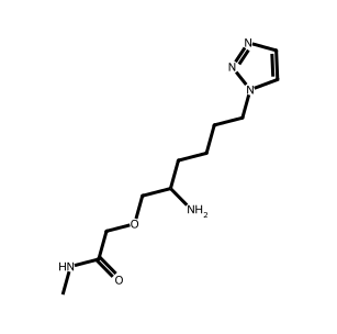 CNC(=O)COCC(N)CCCCn1ccnn1